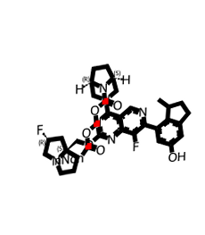 CCCCCCCCCC(=O)OCOC(=O)N1[C@@H]2CC[C@H]1CN(c1nc(OC[C@@]34CCCN3C[C@H](F)C4)nc3c(F)c(-c4cc(O)cc5c4C(C)CC5)ncc13)C2